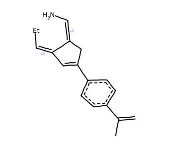 C=C(C)c1ccc(C2=CC(=C/CC)/C(=C\N)C2)cc1